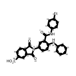 CCc1ccc(NC(=O)c2cc(N3C(=O)c4ccc(C(=O)O)cc4C3=O)ccc2Nc2ccccc2)cc1